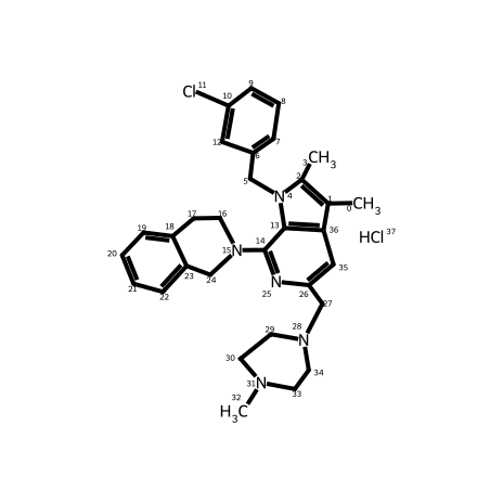 Cc1c(C)n(Cc2cccc(Cl)c2)c2c(N3CCc4ccccc4C3)nc(CN3CCN(C)CC3)cc12.Cl